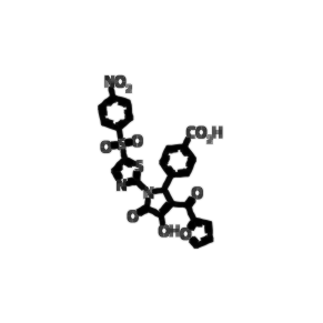 O=C(O)c1ccc(C2C(C(=O)c3ccco3)=C(O)C(=O)N2c2ncc(S(=O)(=O)c3ccc([N+](=O)[O-])cc3)s2)cc1